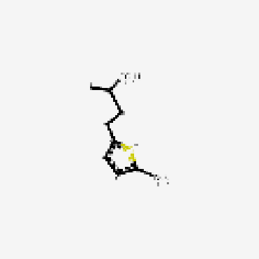 CC(CCc1ccc([N+](=O)[O-])s1)C(=O)O